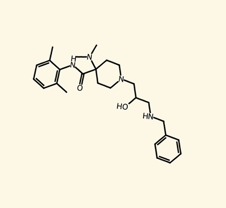 Cc1cccc(C)c1NC(=O)C1(N(C)C)CCN(CC(O)CNCc2ccccc2)CC1